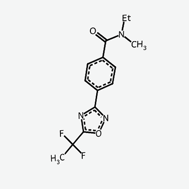 CCN(C)C(=O)c1ccc(-c2noc(C(C)(F)F)n2)cc1